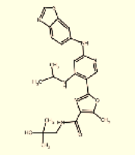 Cc1oc(-c2cnc(Nc3ccc4ncsc4c3)cc2NC(C)C)nc1C(=O)NCC(C)(C)O